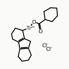 O=C([O][Ti+2][CH]1CCCC2=C1CC1=C2CCCC1)C1CCCCC1.[Cl-].[Cl-]